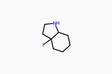 IC12CCCCC1NCC2